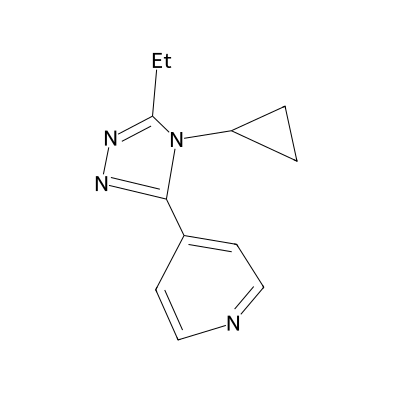 CCc1nnc(-c2ccncc2)n1C1CC1